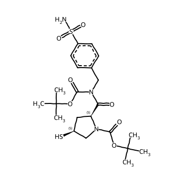 CC(C)(C)OC(=O)N(Cc1ccc(S(N)(=O)=O)cc1)C(=O)[C@@H]1C[C@H](S)CN1C(=O)OC(C)(C)C